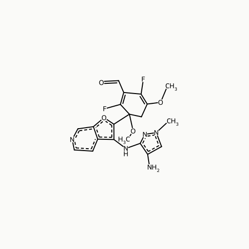 COC1=C(F)C(C=O)=C(F)C(OC)(c2oc3cnccc3c2Nc2nn(C)cc2N)C1